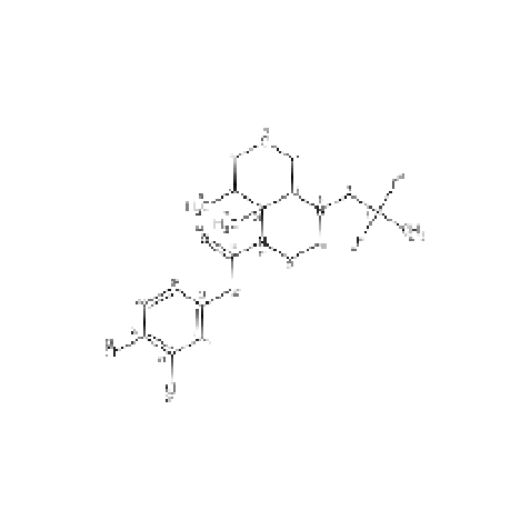 CC1COCC2N(CC(C)(F)F)CCN(C(=O)Cc3ccc(Cl)c(Cl)c3)C12C